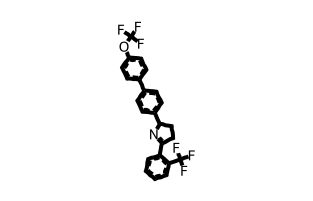 FC(F)(F)Oc1ccc(-c2ccc(C3CCC(c4ccccc4C(F)(F)F)=N3)cc2)cc1